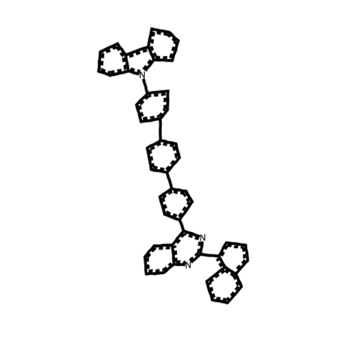 c1ccc2c(-c3nc(-c4ccc(-c5ccc(-c6ccc(-n7c8ccccc8c8ccccc87)cc6)cc5)cc4)c4ccccc4n3)cccc2c1